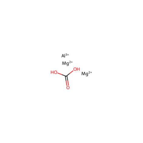 O=C(O)O.[Al+3].[Mg+2].[Mg+2]